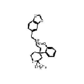 COc1ccccc1C1(CCNCc2ccc3c(c2)OCO3)CCOC(C)(C)C1